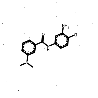 CN(C)c1cccc(C(=O)Nc2ccc(Cl)c(N)c2)c1